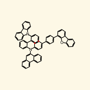 c1ccc(N(c2ccc(-c3ccc(-c4cccc5c4oc4ccccc45)cc3)cc2)c2cc3ccccc3c3ccccc23)c(-c2ccccc2-n2c3ccccc3c3ccccc32)c1